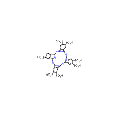 O=S(=O)(O)c1ccc2c(c1)-c1nc-2nc2[nH]c(nc3nc(nc4[nH]c(n1)c1cc(S(=O)(=O)O)c(S(=O)(=O)O)cc41)-c1cc(S(=O)(=O)O)c(S(=O)(=O)O)cc1-3)c1cc(S(=O)(=O)O)c(S(=O)(=O)O)cc21